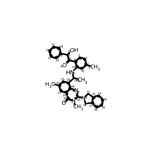 Cc1ccc(C(=O)C(O)c2ccccc2)c(NC(C)c2cc(C)cc3c(=O)n(C)c(N4Cc5ccccc5C4)nc23)c1